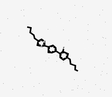 CCCCCc1cnc(-c2ccc(-c3ccc(CCCCC)cc3F)cc2)nc1